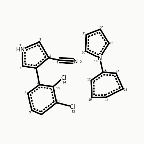 N#Cc1c[nH]cc1-c1cccc(Cl)c1Cl.c1ccc(-n2cccc2)cc1